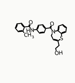 Cc1ccccc1C(=O)Nc1ccc(C(=O)N2CC=C(CCO)Sc3ccccc32)cc1